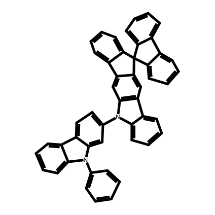 c1ccc(-n2c3ccccc3c3ccc(-n4c5ccccc5c5cc6c(cc54)-c4ccccc4C64c5ccccc5-c5ccccc54)cc32)cc1